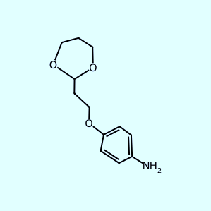 Nc1ccc(OCCC2OCCCO2)cc1